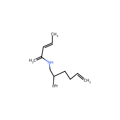 C=CCCC(CCC)CNC(=C)/C=C/C